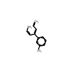 C=C/C=C(\C=C/N)c1cccc(C)c1